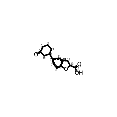 O=C1CCCC(c2ccc3c(c2)CC(C(=O)O)O3)C1